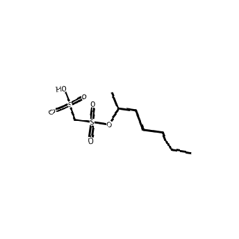 CCCCCC(C)OS(=O)(=O)CS(=O)(=O)O